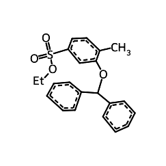 CCOS(=O)(=O)c1ccc(C)c(OC(c2ccccc2)c2ccccc2)c1